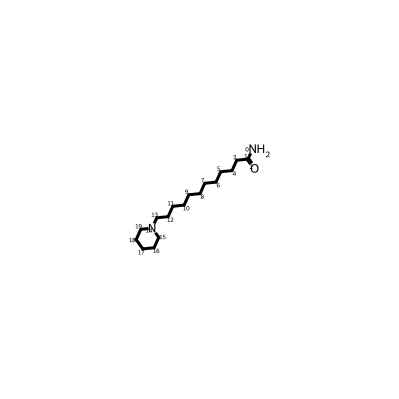 NC(=O)CCCCCCCCCCCN1CCCCC1